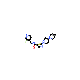 C[C@@H]1CCCN(C2CCN(c3ncc(C(=O)NCc4ccncc4F)s3)CC2)C1